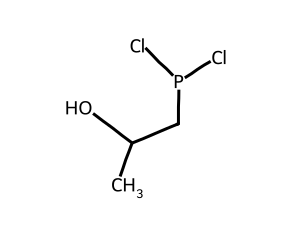 CC(O)CP(Cl)Cl